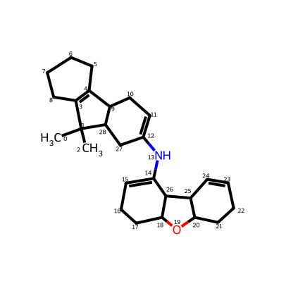 CC1(C)C2=C(CCCC2)C2CC=C(NC3=CCCC4OC5CCC=CC5C34)CC21